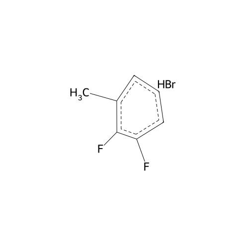 Br.Cc1cccc(F)c1F